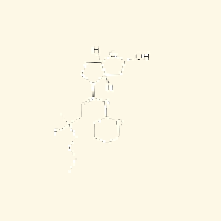 CCCCC(C)(F)CC=C(OC1CCCCO1)[C@H]1CC[C@H]2OC(O)C[C@H]12